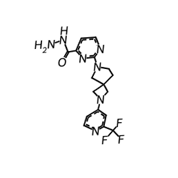 NNC(=O)c1ccnc(N2CCC3(CN(c4ccnc(C(F)(F)F)c4)C3)C2)n1